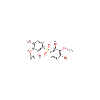 COc1c(Br)ccc(S(=O)(=O)c2ccc(Br)c(OC)c2Br)c1Br